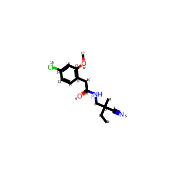 CCC(C)(C#N)CNC(=O)Cc1ccc(Cl)cc1OC